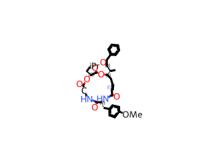 COc1ccc(C[C@H]2NC(=O)/C=C/C[C@@H](C(C)[C@H]3OC3c3ccccc3)OC(=O)[C@H](CC(C)C)OC(=O)CCNC2=O)cc1